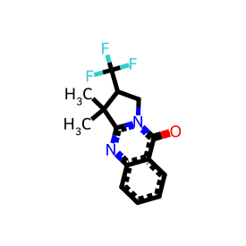 CC1(C)c2nc3ccccc3c(=O)n2CC1C(F)(F)F